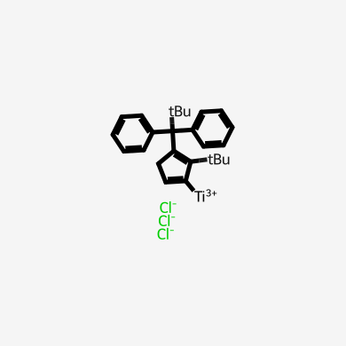 CC(C)(C)C1=C(C(c2ccccc2)(c2ccccc2)C(C)(C)C)CC=[C]1[Ti+3].[Cl-].[Cl-].[Cl-]